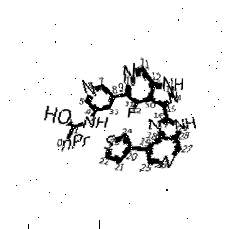 CCCC(O)Nc1cncc(-c2ncc3[nH]nc(-c4nc5c(-c6ccsc6)cncc5[nH]4)c3c2F)c1